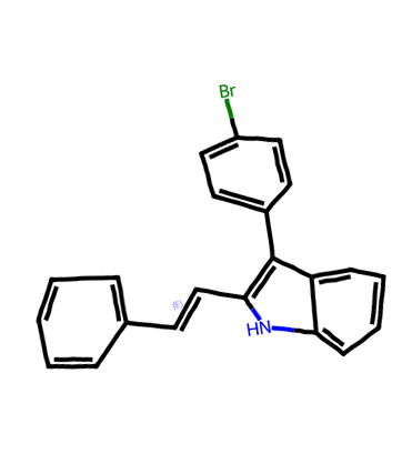 Brc1ccc(-c2c(/C=C/c3ccccc3)[nH]c3ccccc23)cc1